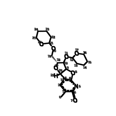 Cc1cn2c(nc1=O)OC1C(OC3CCCCO3)[C@@H](COC3CCCCO3)O[C@H]12